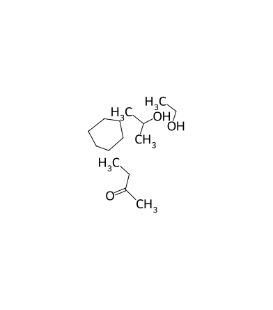 C1CCCCC1.CC(C)O.CCC(C)=O.CCO